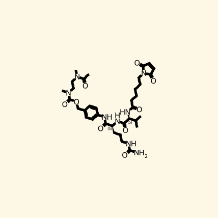 CC(=O)N(C)CCN(C)C(=O)OCc1ccc(NC(=O)[C@H](CCCNC(N)=O)NC(=O)[C@@H](NC(=O)CCCCCN2C(=O)C=CC2=O)C(C)C)cc1